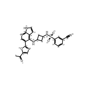 CC(=O)c1cnc(-c2cnc3[nH]ccc3c2NC2CC(NS(=O)(=O)c3cccc(C#N)c3)C2)o1